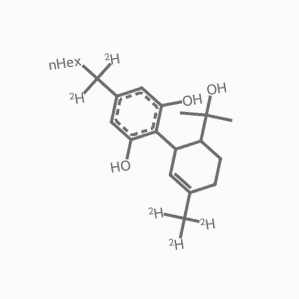 [2H]C([2H])([2H])C1=CC(c2c(O)cc(C([2H])([2H])CCCCCC)cc2O)C(C(C)(C)O)CC1